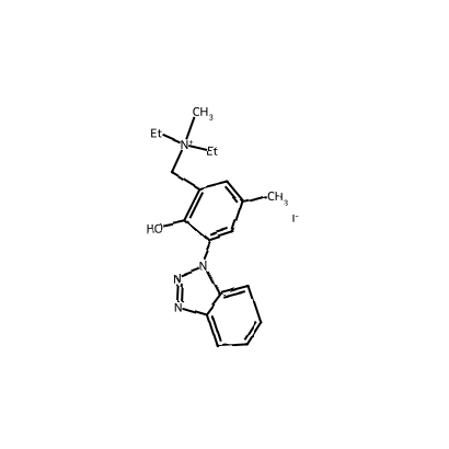 CC[N+](C)(CC)Cc1cc(C)cc(-n2nnc3ccccc32)c1O.[I-]